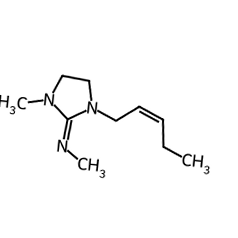 CC/C=C\CN1CCN(C)/C1=N/C